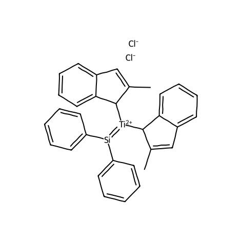 CC1=Cc2ccccc2[CH]1[Ti+2]([CH]1C(C)=Cc2ccccc21)=[Si](c1ccccc1)c1ccccc1.[Cl-].[Cl-]